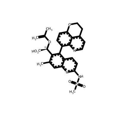 C=C(C)O[C@H](C(=O)O)c1c(C)cc2nc(NS(C)(=O)=O)ccc2c1-c1ccc2c3c(ccnc13)CCO2